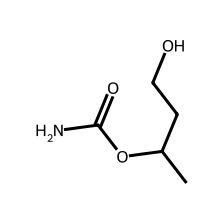 CC(CCO)OC(N)=O